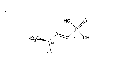 C[C@H](N=CP(=O)(O)O)C(=O)O